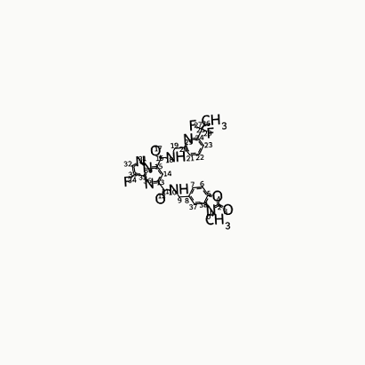 Cn1c(=O)oc2ccc(CNC(=O)c3cc(C(=O)NCc4cccc(C(C)(F)F)n4)n4ncc(F)c4n3)cc21